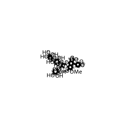 COc1cc2c(O[C@@H]3OC[C@](O)(CO[C@@H]4OC[C@@H](O)[C@H](O)[C@H]4O)[C@H]3O[C@@H]3OC[C@H](O)[C@H](O[C@@H]4OC[C@]5(O)C(O)[C@@]45O)[C@H]3O)c3c(c(-c4ccc5c(c4)OCO5)c2cc1OC)C(=O)OC3